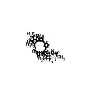 C=CC(=O)N1CC[C@H](C(=O)N(C)[C@H](C(=O)N[C@H]2Cc3cccc(c3)-c3ccc4c(c3)c(c(-c3cccnc3[C@H](C)OC)n4CC)CC(C)(C)COC(=O)C3CCCN(N3)C2=O)[C@@H](C)C(F)(F)F)C1